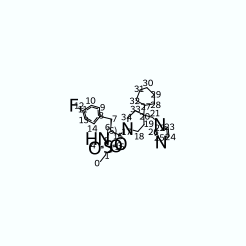 CCS(=O)(=O)N[C@@H](Cc1ccc(F)cc1)C(=O)N1CCC(Cn2ccnc2)(C2CCCCC2)CC1